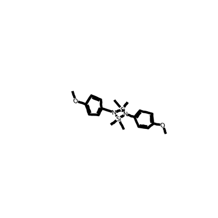 COc1ccc(N2[Si](C)(C)N(c3ccc(OC)cc3)[Si]2(C)C)cc1